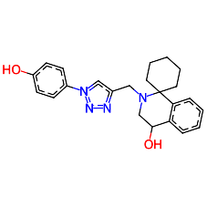 Oc1ccc(-n2cc(CN3CC(O)c4ccccc4C34CCCCC4)nn2)cc1